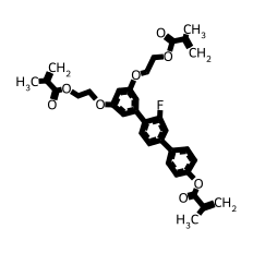 C=C(C)C(=O)OCCOc1cc(OCCOC(=O)C(=C)C)cc(-c2ccc(-c3ccc(OC(=O)C(=C)C)cc3)cc2F)c1